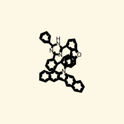 c1ccc(C2N=C(c3ccccc3-c3ccccc3-n3c4cc5ccccc5cc4c4cc5ccccc5cc43)N=C(c3cccc4oc5ccccc5c34)N2)cc1